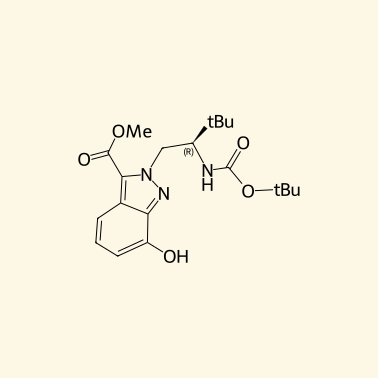 COC(=O)c1c2cccc(O)c2nn1C[C@H](NC(=O)OC(C)(C)C)C(C)(C)C